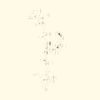 CC(C)(CCN=[N+]=N)OCCC(C)(C)C(=O)NC(COCCC(=O)NCCCOC1OC(CO)C(OC2OC3CC3CC2O)CC1O)COCCC(=O)NCCCOC1OC(CO)C(OC2OC3CC3CC2O)CC1O